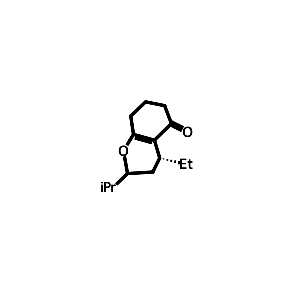 CC[C@@H]1CC(C(C)C)OC2=C1C(=O)CCC2